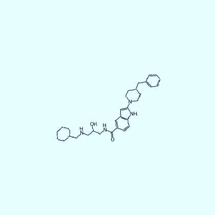 O=C(NCC(O)CNCC1CCCCC1)c1ccc2[nH]c(N3CCC(Cc4ccccc4)CC3)cc2c1